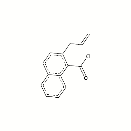 C=CCc1ccc2ccccc2c1C(=O)Cl